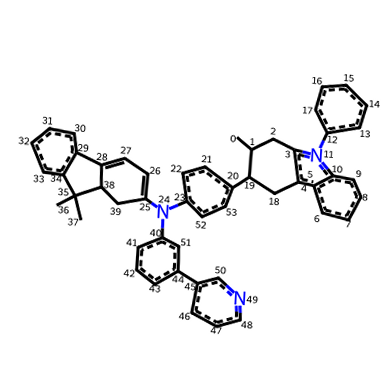 CC1Cc2c(c3ccccc3n2-c2ccccc2)CC1c1ccc(N(C2=CC=C3c4ccccc4C(C)(C)C3C2)c2cccc(-c3cccnc3)c2)cc1